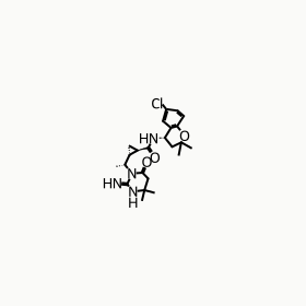 C[C@H]([C@@H]1C[C@H]1C(=O)N[C@H]1CC(C)(C)Oc2ccc(Cl)cc21)N1C(=N)NC(C)(C)CC1=O